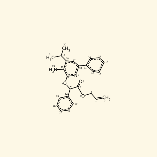 C=CCOC(=O)C(Oc1nc(-c2ccccc2)cc(C(C)C)c1N)c1ccccc1